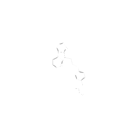 COC(Cc1ccc(OCCC2c3ncccc3-c3cccnc32)cc1)C(=O)O